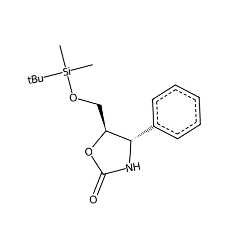 CC(C)(C)[Si](C)(C)OC[C@@H]1OC(=O)N[C@H]1c1ccccc1